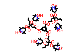 CCCCC(CCCOC(=O)c1cc(C(=O)OCCCC(CCCC)(C(=O)OC2CC(C)(C)N(O)C(C)(C)C2)C(=O)OC2CC(C)(C)N(O)C(C)(C)C2)cc(C(=O)OCCCC(CCCC)(C(=O)OC2CC(C)(C)N(O)C(C)(C)C2)C(=O)OC2CC(C)(C)N(OC)C(C)(C)C2)c1)(C(=O)OC1CC(C)(C)N(O)C(C)(C)C1)C(=O)OC1CC(C)(C)N(O)C(C)(C)C1